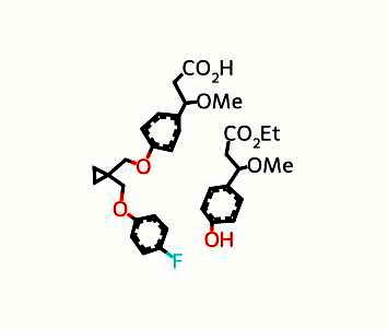 CCOC(=O)CC(OC)c1ccc(O)cc1.COC(CC(=O)O)c1ccc(OCC2(COc3ccc(F)cc3)CC2)cc1